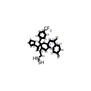 C=C(C1=CC=CC1)C1(Cc2ccc(C(F)(F)F)cc2)CC(/C=C(/C)c2ccc(F)cc2)=C(C)C=C1CCNS